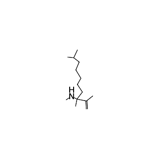 C=C(C)C(C)(CCCCCC(C)C)NC